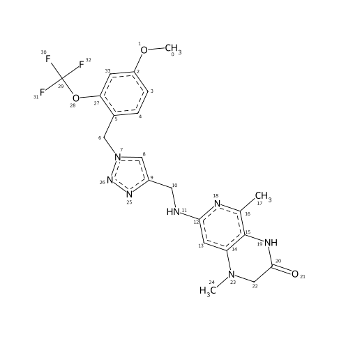 COc1ccc(Cn2cc(CNc3cc4c(c(C)n3)NC(=O)CN4C)nn2)c(OC(F)(F)F)c1